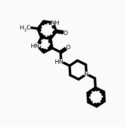 Cc1c[nH]c(=O)c2c(C(=O)NC3CCN(Cc4ccccc4)CC3)c[nH]c12